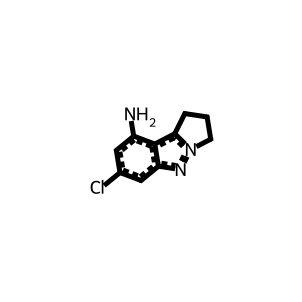 Nc1cc(Cl)cc2nn3c(c12)CCC3